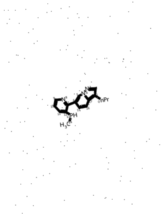 CCCc1cnn2cc(-c3ncccc3PC)ccc12